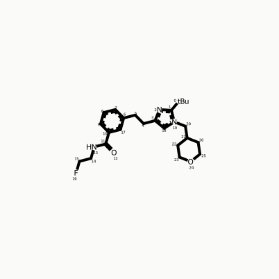 CC(C)(C)c1nc(CCc2cccc(C(=O)NCCF)c2)cn1CC1CCOCC1